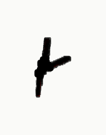 CCCCCCCCCCCCCCCCCCOC(=O)C(C)CC(C)C(=O)OCC(COC(=O)C(C)CC(C)C(=O)OCCCCCCCCCCCCCCCCCC)OC(=O)C(C)CC(C)C(=O)OCCCCCCCCCCCCCCCCCC